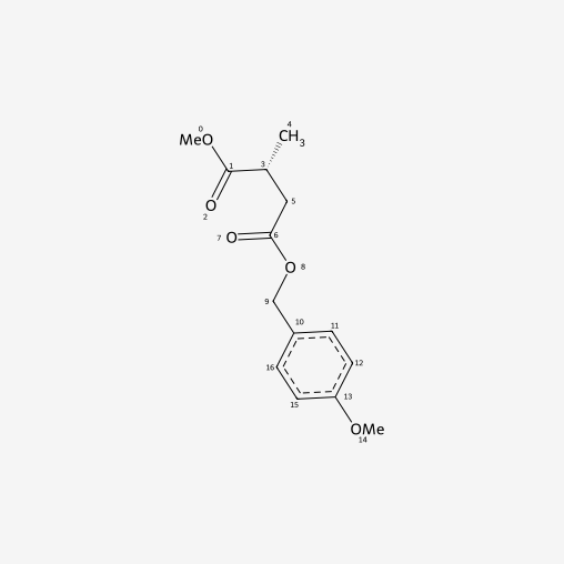 COC(=O)[C@H](C)CC(=O)OCc1ccc(OC)cc1